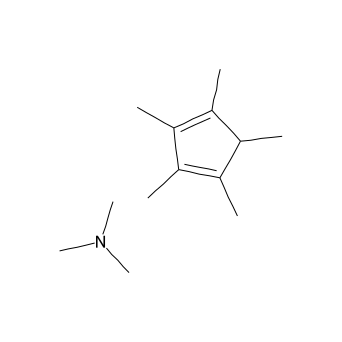 CC1=C(C)C(C)C(C)=C1C.CN(C)C